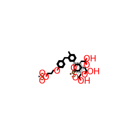 CS[C@H]1O[C@H](c2ccc(C)c(Cc3ccc(OCCCOS(C)(=O)=O)cc3)c2)[C@@H](CC(=O)O)[C@@H](CC(=O)O)[C@@H]1CC(=O)O